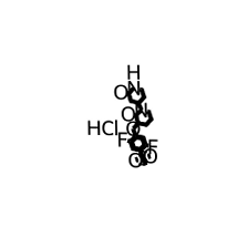 CS(=O)(=O)c1cc(F)c(OC2CCCN(C3CCNC(=O)C3)C2=O)cc1F.Cl